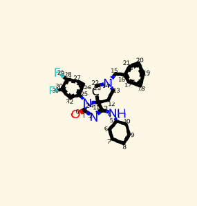 O=C1N=C(NC2CCCCC2)C2(CCN(Cc3ccccc3)CC2)N1c1ccc(F)c(F)c1